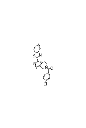 O=C(c1ccc(Cl)cc1)N1CCn2c(nnc2-c2nc3cnccc3s2)C1